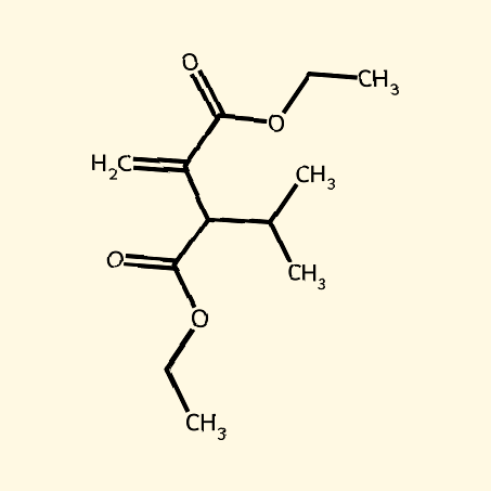 C=C(C(=O)OCC)C(C(=O)OCC)C(C)C